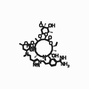 CC[C@H]1OC(=O)[C@H](C)[C@@H](O[C@H]2C[C@@](C)(OC)[C@@H](O)[C@H](C)O2)[C@H](C)[C@@H](O[C@@H]2O[C@H](C)C[C@H](N(C)CCc3cn(CCc4ccc(C(=N)N)cc4)nn3)[C@H]2O)[C@](C)(O)C[C@@H](C)CN(C)[C@H](C)[C@@H](O)[C@H]1C